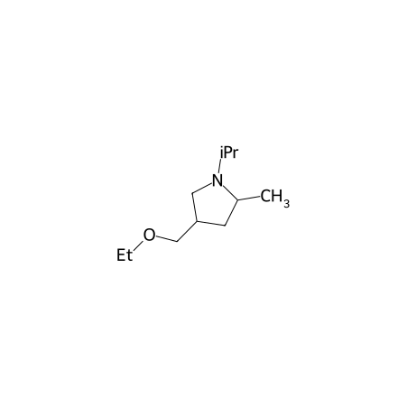 CCOCC1CC(C)N(C(C)C)C1